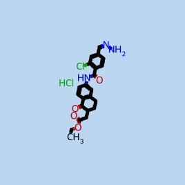 CCOC(=O)CC1CCc2cc(NC(=O)c3ccc(/C=N\N)cc3Cl)ccc2C1=O.Cl